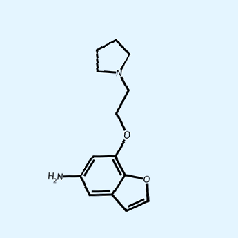 Nc1cc(OCCN2CCCC2)c2occc2c1